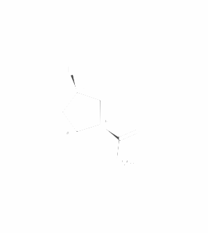 COC(=O)[C@@H]1C[C@H](F)C[C@H]1O